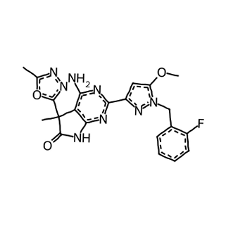 COc1cc(-c2nc(N)c3c(n2)NC(=O)C3(C)c2nnc(C)o2)nn1Cc1ccccc1F